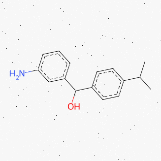 CC(C)c1ccc(C(O)c2cccc(N)c2)cc1